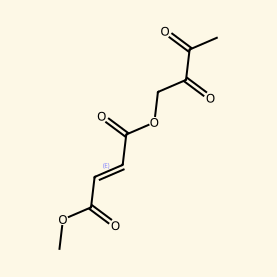 COC(=O)/C=C/C(=O)OCC(=O)C(C)=O